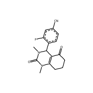 CN1C(=O)N(C)C(c2ccc(C#N)cc2F)C2=C1CCCC2=O